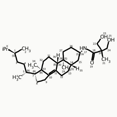 CC(C)[C@@H](C)CC[C@@H](C)[C@H]1CCC2=C3CC[C@H]4C[C@@H](NC(=O)C(C)(CO)CO)CC[C@]4(C)[C@H]3CC[C@@]21C